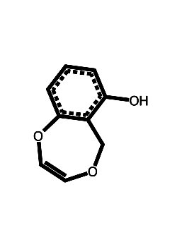 Oc1cccc2c1COC=CO2